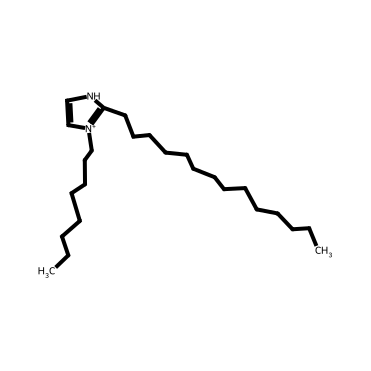 CCCCCCCCCCCCCCc1[nH]cc[n+]1CCCCCCCC